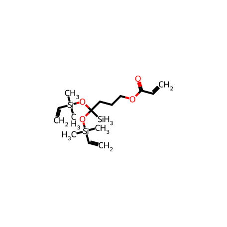 C=CC(=O)OCCCC([SiH3])(O[Si](C)(C)C=C)O[Si](C)(C)C=C